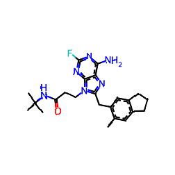 Cc1cc2c(cc1Cc1nc3c(N)nc(F)nc3n1CCC(=O)NC(C)(C)C)CCC2